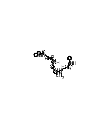 Cc1ccc(-c2csc(-c3cc(C(=O)NCCCNC(=O)c4ccc5ccccc5n4)n[nH]3)c2)nc1C(=O)NCCCNC(=O)c1cc(-c2ccccc2)[nH]n1